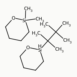 CC(C)(C)C(C)(C)[SiH]1CCCCO1.C[Si]1(C)CCCCO1